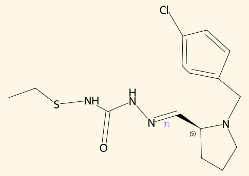 CCSNC(=O)N/N=C/[C@@H]1CCCN1Cc1ccc(Cl)cc1